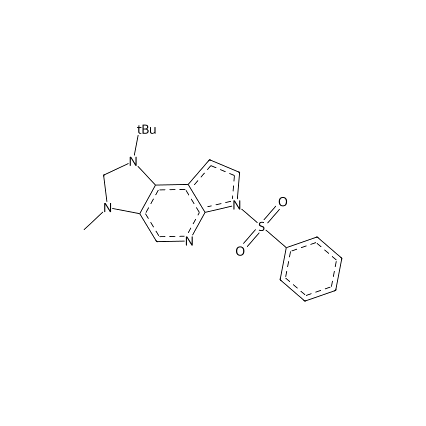 CN1CN(C(C)(C)C)c2c1cnc1c2ccn1S(=O)(=O)c1ccccc1